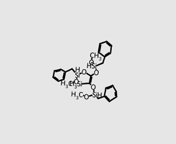 CO[SiH](Cc1ccccc1)OC([SiH3])=C(O[SiH](Cc1ccccc1)OC)O[SiH](Cc1ccccc1)OC